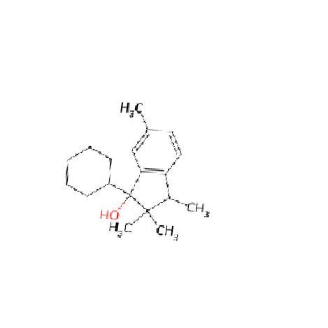 Cc1ccc2c(c1)C(O)(C1CCCCC1)C(C)(C)C2C